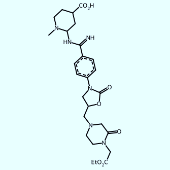 CCOC(=O)CN1CCN(CC2CN(c3ccc(C(=N)NC4CC(C(=O)O)CCN4C)cc3)C(=O)O2)CC1=O